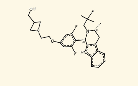 C[C@@H]1Cc2c([nH]c3ccccc23)[C@@H](c2c(F)cc(OCCN3CC(CO)C3)cc2F)N1CC(C)(C)F